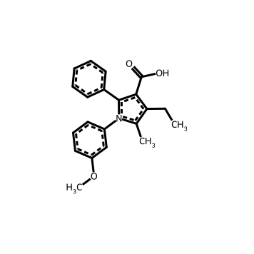 CCc1c(C(=O)O)c(-c2ccccc2)n(-c2cccc(OC)c2)c1C